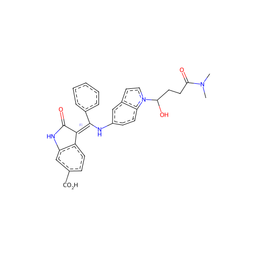 CN(C)C(=O)CCC(O)n1ccc2cc(N/C(=C3/C(=O)Nc4cc(C(=O)O)ccc43)c3ccccc3)ccc21